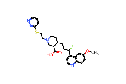 COc1ccc2nccc(C(F)CC[C@@H]3CCN(CCSc4cccnn4)C[C@@H]3C(=O)O)c2c1